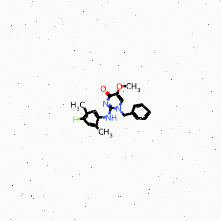 COc1cn(Cc2ccccc2)c(Nc2cc(C)c(F)cc2C)nc1=O